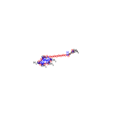 CC(=O)N1c2ccc(-c3ccc(C(=O)NCCOCCOCCOCCOCCOCCOCCOCCOCCNC(=O)CCNC(=O)c4nc(NC(=O)CCNC(=O)c5c(NC(=O)c6nc(NC(=O)CCNC(=O)c7cc(NC(=O)c8nccn8C)cn7C)cn6C)ccn5C)cn4C)cc3)cc2CC[C@@H]1C